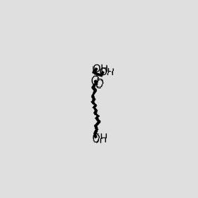 O=C(CCCCCCCCCCCCCCCO)OC(CO)CO